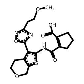 COCCc1noc(-c2c(NC(=O)C3=C(C(=O)O)CCC3)sc3c2CCOC3)n1